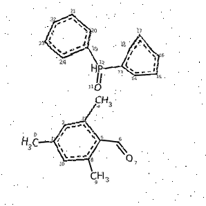 Cc1cc(C)c(C=O)c(C)c1.O=[PH](c1ccccc1)c1ccccc1